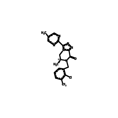 Cc1cnc(-c2nnc3n2C[C@H](C)N(Cc2cccc(C(F)(F)F)c2Cl)C3=O)nc1